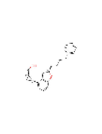 OC[C@@H]1C[C@@H]1c1cccc2c1C[C@@H](CCCCc1ccccc1)O2